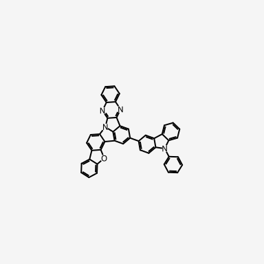 c1ccc(-n2c3ccccc3c3cc(-c4cc5c6nc7ccccc7nc6n6c7ccc8c9ccccc9oc8c7c(c4)c56)ccc32)cc1